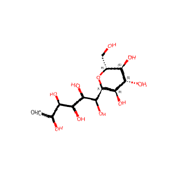 O=CC(O)C(O)C(O)C(O)C(O)[C@H]1O[C@H](CO)[C@@H](O)[C@H](O)[C@H]1O